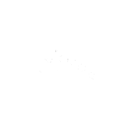 Cc1ncsc1-c1ccc([C@H](C)NC(=O)[C@@H]2C[C@@H](O)CN2C(=O)[C@H](c2cc(OC3CCN3C(=O)O)no2)C(C)C)cc1